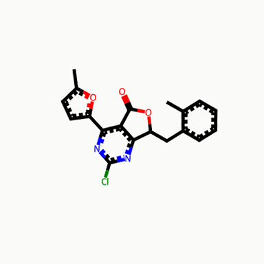 Cc1ccc(-c2nc(Cl)nc3c2C(=O)OC3Cc2ccccc2C)o1